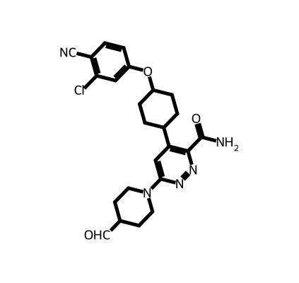 N#Cc1ccc(OC2CCC(c3cc(N4CCC(C=O)CC4)nnc3C(N)=O)CC2)cc1Cl